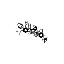 Cc1cc(C)c(N2CCOCC2)c(C)c1NC(=O)c1sccc1NS(=O)(=O)c1ccc(OC(F)(F)F)cc1Cl